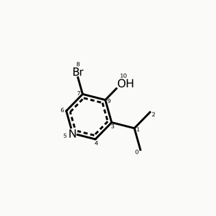 CC(C)c1cncc(Br)c1O